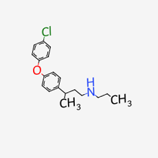 CCCNCCC(C)c1ccc(Oc2ccc(Cl)cc2)cc1